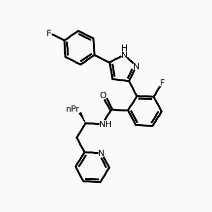 CCC[C@H](Cc1ccccn1)NC(=O)c1cccc(F)c1-c1cc(-c2ccc(F)cc2)[nH]n1